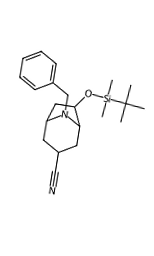 CC(C)(C)[Si](C)(C)OC1CC2CC(C#N)CC1N2Cc1ccccc1